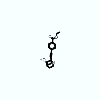 CCOC(=O)c1ccc(C#CC2C(O)C3CCN2CC3)cc1